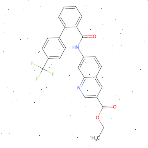 CCOC(=O)c1cnc2cc(NC(=O)c3ccccc3-c3ccc(C(F)(F)F)cc3)ccc2c1